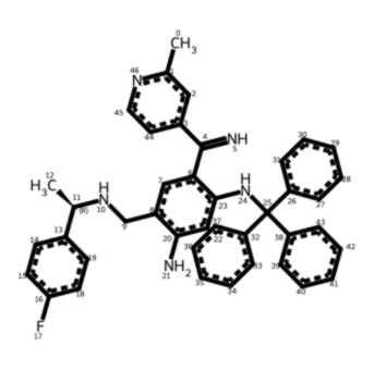 Cc1cc(C(=N)c2cc(CN[C@H](C)c3ccc(F)cc3)c(N)cc2NC(c2ccccc2)(c2ccccc2)c2ccccc2)ccn1